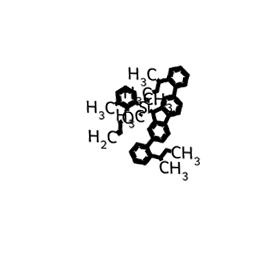 C=CCOc1c(C)cccc1[Si](C)(C)C1c2cc(-c3ccccc3C(C)CC)ccc2-c2ccc(-c3ccccc3C(C)CC)cc21